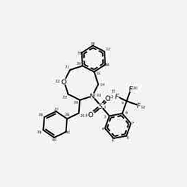 O=S(=O)(c1ccccc1C(F)(F)F)N1Cc2ccccc2COCC1CC1C=CC=CC1